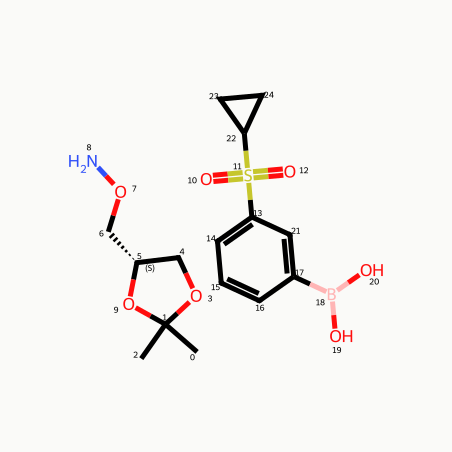 CC1(C)OC[C@@H](CON)O1.O=S(=O)(c1cccc(B(O)O)c1)C1CC1